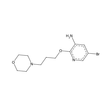 Nc1cc(Br)cnc1OCCCN1CCOCC1